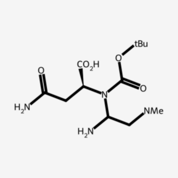 CNCC(N)N(C(=O)OC(C)(C)C)[C@@H](CC(N)=O)C(=O)O